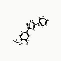 CC(C)Oc1ccc(-c2noc(-c3ccccc3)n2)cc1I